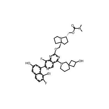 CCc1c(F)ccc2cc(O)cc(-c3ncc4c(N5CCCC6(CC(O)C6)C5)nc(OC[C@@]56CCCN5[C@H](COC(=O)N(C)C)CC6)nc4c3F)c12